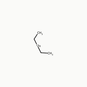 C[CH2][1Zn][CH2]C